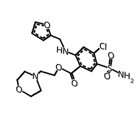 NS(=O)(=O)c1cc(C(=O)OCCN2CCOCC2)c(NCc2ccco2)cc1Cl